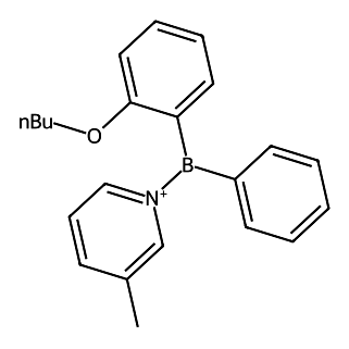 CCCCOc1ccccc1B(c1ccccc1)[n+]1cccc(C)c1